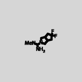 CNC(N)N1CC2CC(F)(F)CC2C1